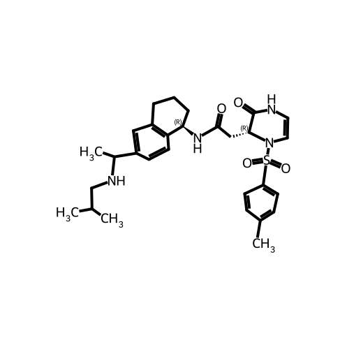 Cc1ccc(S(=O)(=O)N2C=CNC(=O)[C@H]2CC(=O)N[C@@H]2CCCc3cc(C(C)NCC(C)C)ccc32)cc1